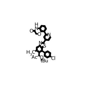 CC(=O)[C@@H](OC(C)(C)C)c1c(C)cc2nc(-c3ccnc(-c4cccc5c4OCC(=O)N5)c3)sc2c1-c1ccc(Cl)cc1